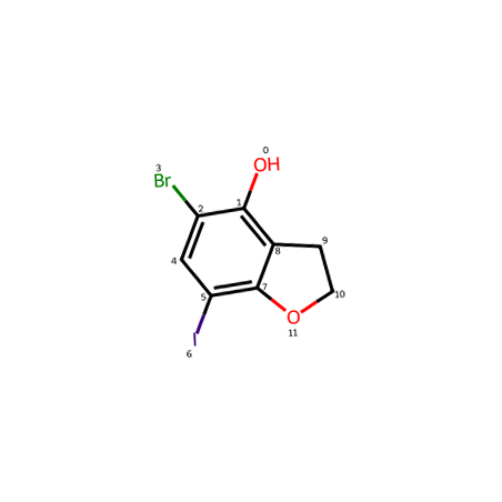 Oc1c(Br)cc(I)c2c1CCO2